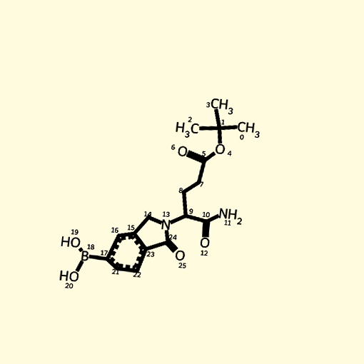 CC(C)(C)OC(=O)CCC(C(N)=O)N1Cc2cc(B(O)O)ccc2C1=O